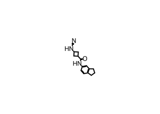 N#CNC1CC(C(=O)Nc2ccc3c(c2)CCC3)C1